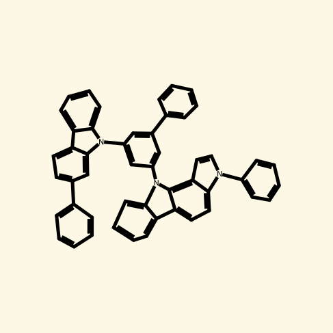 c1ccc(-c2cc(-n3c4ccccc4c4ccc(-c5ccccc5)cc43)cc(-n3c4ccccc4c4ccc5c(ccn5-c5ccccc5)c43)c2)cc1